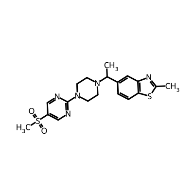 Cc1nc2cc(C(C)N3CCN(c4ncc(S(C)(=O)=O)cn4)CC3)ccc2s1